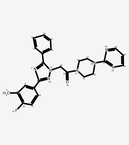 Cc1cc(-c2nc(-c3ccccc3)n(CC(=O)N3CCN(c4ncccn4)CC3)n2)ccc1F